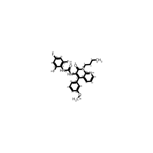 CCCCn1c(=O)c(NC(=O)Nc2c(F)cc(F)cc2F)c(-c2cccc(OC)c2)c2cccnc21